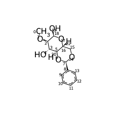 CO[C@@H]1[C@@H](O)[C@@H]2O[C@H](c3ccccc3)OC[C@H]2O[C@@H]1O